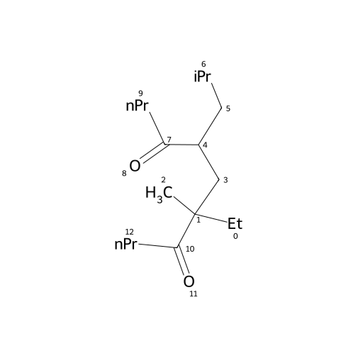 [CH2]CC(C)(CC(CC(C)C)C(=O)CCC)C(=O)CCC